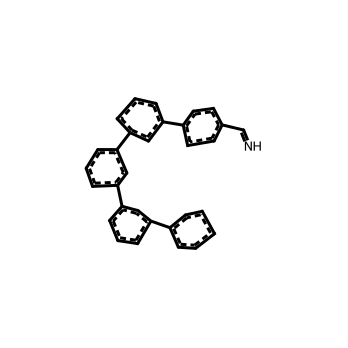 N=Cc1ccc(-c2cccc(-c3cccc(-c4cccc(-c5ccccc5)c4)c3)c2)cc1